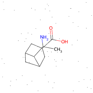 CC(N)C1C2CC(C(=O)O)CC1C2